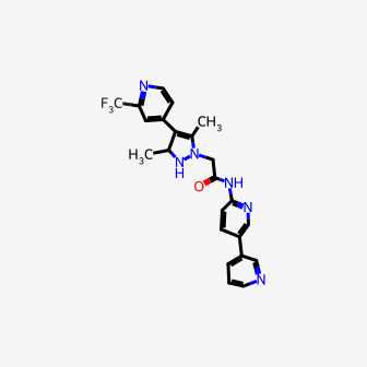 CC1=C(c2ccnc(C(F)(F)F)c2)C(C)NN1CC(=O)Nc1ccc(-c2cccnc2)cn1